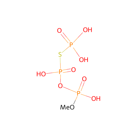 COP(=O)(O)OP(=O)(O)SP(=O)(O)O